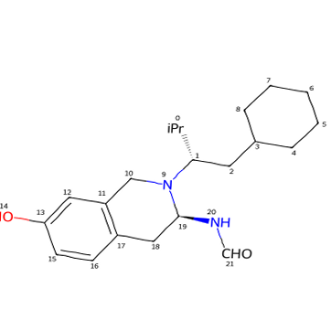 CC(C)[C@H](CC1CCCCC1)N1Cc2cc(O)ccc2C[C@@H]1NC=O